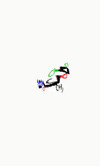 CC(C)(CCOc1ccc(Cl)cc1Cl)C(=O)Cn1ccnc1